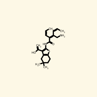 C=C(O)c1c(NC(=O)C(/C=C\C)=C(/C=C\C)CN)sc2c1CC(C)(C)CC2